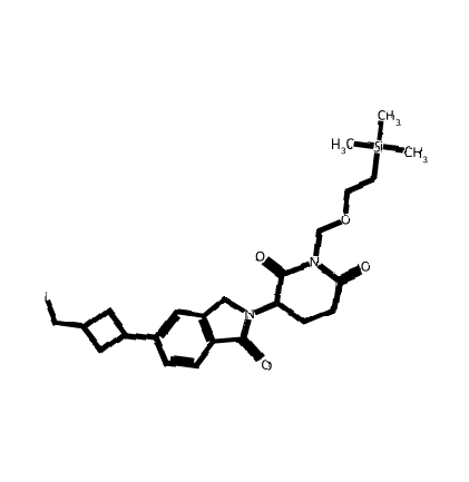 C[Si](C)(C)CCOCN1C(=O)CCC(N2Cc3cc(C4CC(CI)C4)ccc3C2=O)C1=O